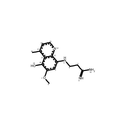 COc1cc(NCCC(=N)N)c2nccc(C)c2c1O